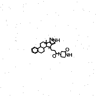 C[C@]12CCC3c4ccccc4CCC3C1[C@H](CCC(=O)N1CCNC(=O)C1)c1c[nH]nc12